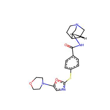 O=C(N[C@H]1CN2CCC1CC2)c1ccc(Sc2ncc(N3CCOCC3)o2)cc1